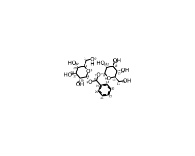 OC[C@H]1O[C@H](OC(O[C@H]2O[C@H](CO)[C@@H](O)[C@H](O)[C@H]2O)c2ccccc2)[C@H](O)[C@@H](O)[C@@H]1O